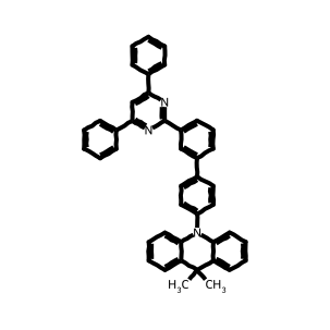 CC1(C)c2ccccc2N(c2ccc(-c3cccc(-c4nc(-c5ccccc5)cc(-c5ccccc5)n4)c3)cc2)c2ccccc21